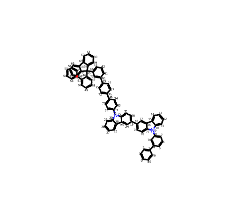 c1ccc(-c2cccc(-n3c4ccccc4c4cc(-c5ccc6c(c5)c5ccccc5n6-c5ccc(-c6ccc(-c7cccc(C8(c9ccccc9-c9ccccc9)c9ccccc9-c9ccccc98)c7)cc6)cc5)ccc43)c2)cc1